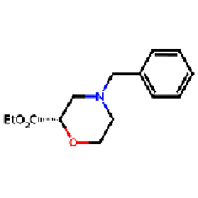 CCOC(=O)[C@@H]1CN(Cc2ccccc2)CCO1